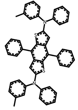 Cc1cccc(N(c2ccccc2)c2cc3c(-c4ccccc4)c4sc(N(c5ccccc5)c5cccc(C)c5)cc4c(-c4ccccc4)c3s2)c1